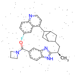 C[C@H](CC1CC2CC1CC2c1ccnc2ccc(F)cc12)c1nc2cc(C(=O)N3CCC3)ccc2[nH]1